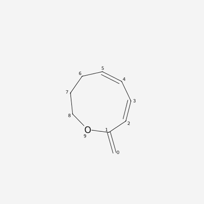 C=C1/C=C\C=C/CCCO1